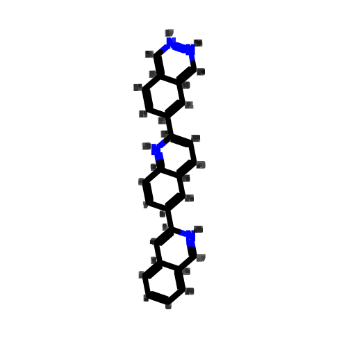 c1ccc2cc(-c3ccc4nc(-c5ccc6cnncc6c5)ccc4c3)ncc2c1